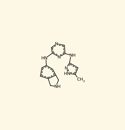 Cc1cc(Nc2cncc(Nc3ccc4c(c3)CNC4)n2)n[nH]1